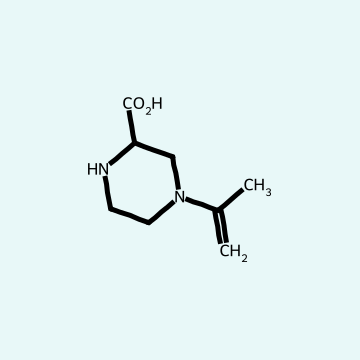 C=C(C)N1CCNC(C(=O)O)C1